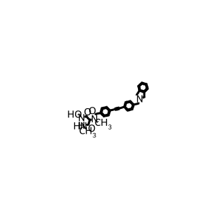 CNC(=O)C(C(=O)NO)N(C)C(=O)c1ccc(C#Cc2ccc(CN3Cc4ccccc4C3)cc2)cc1